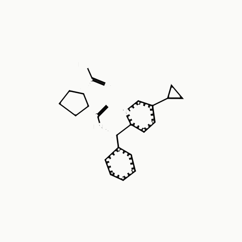 O=C(O)[C@H]1CCC[C@H]1C(=O)N[C@@H](c1ccccc1)c1ccc(C2CC2)cn1